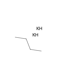 CCCC.[KH].[KH]